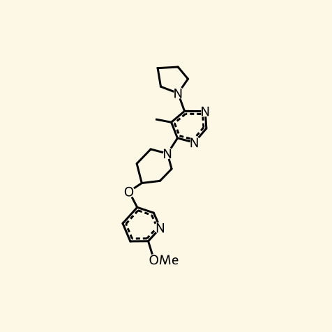 COc1ccc(OC2CCN(c3ncnc(N4CCCC4)c3C)CC2)cn1